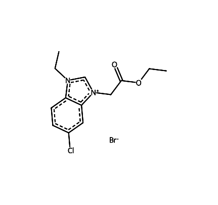 CCOC(=O)C[n+]1cn(CC)c2ccc(Cl)cc21.[Br-]